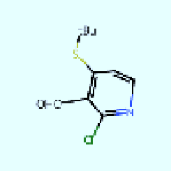 CC(C)(C)Sc1ccnc(Cl)c1C=O